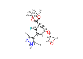 Cc1nn(C)c(C)c1-c1cc(OC2COC2)cc(B2OC(C)(C)C(C)(C)O2)c1F